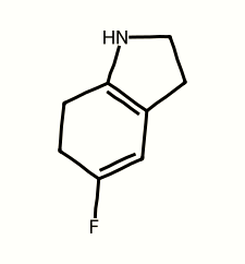 FC1=CC2=C(CC1)NCC2